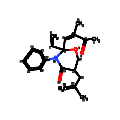 C=CC1(/C=C(/C)C(C)=O)OCC(CC(=C)C)C(=O)N1c1ccccc1